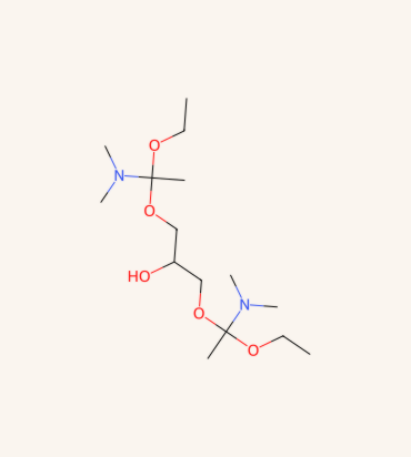 CCOC(C)(OCC(O)COC(C)(OCC)N(C)C)N(C)C